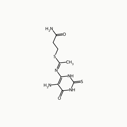 C/C(=N\c1[nH]c(=S)[nH]c(=O)c1N)SCCC(N)=O